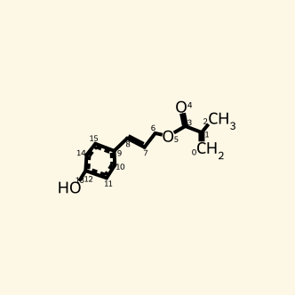 C=C(C)C(=O)OCC=Cc1ccc(O)cc1